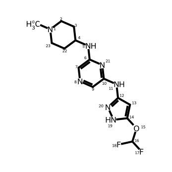 CN1CCC(Nc2cncc(Nc3cc(OC(F)F)[nH]n3)n2)CC1